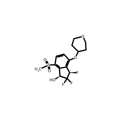 CS(=O)(=O)c1ccc(OC2CCOCC2)c2c1[C@H](O)C(F)(F)[C@@H]2F